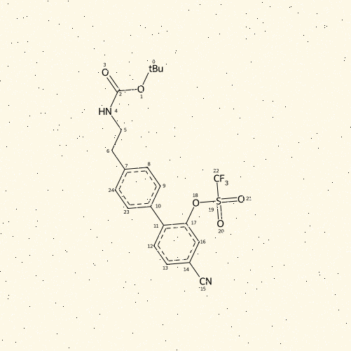 CC(C)(C)OC(=O)NCCc1ccc(-c2ccc(C#N)cc2OS(=O)(=O)C(F)(F)F)cc1